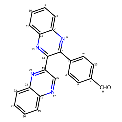 O=Cc1ccc(-c2nc3ccccc3nc2-c2cnc3ccccc3n2)cc1